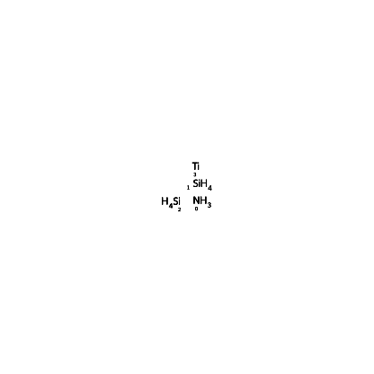 N.[SiH4].[SiH4].[Ti]